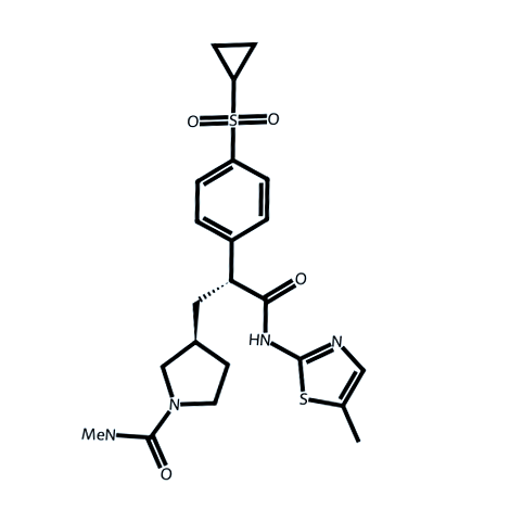 CNC(=O)N1CC[C@H](C[C@@H](C(=O)Nc2ncc(C)s2)c2ccc(S(=O)(=O)C3CC3)cc2)C1